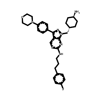 N[C@H]1CC[C@H](Cn2nc(-c3ccc(N4CCOCC4)cc3)c3cnc(NCCCc4ccc(F)cc4)nc32)CC1